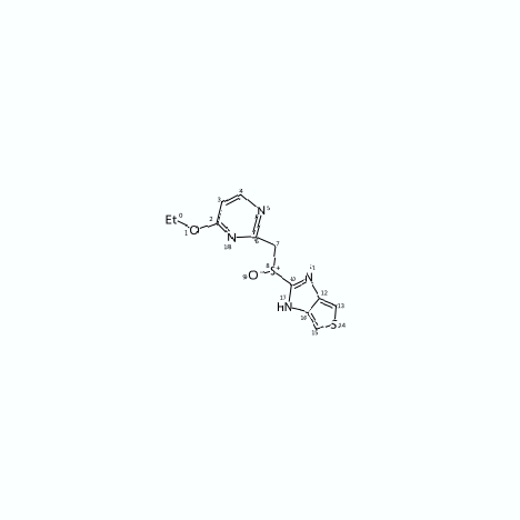 CCOc1ccnc(C[S+]([O-])c2nc3cscc3[nH]2)n1